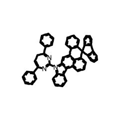 C1=C(c2ccccc2)N=C(n2c3ccccc3c3c4cccc5c4c(cc32)-c2ccccc2C52c3ccccc3-c3ccccc32)N=C(c2ccccc2)C1